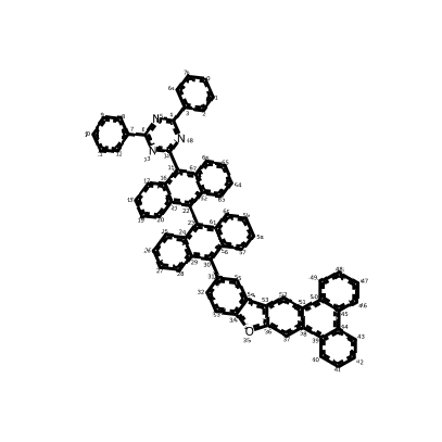 c1ccc(-c2nc(-c3ccccc3)nc(-c3c4ccccc4c(-c4c5ccccc5c(-c5ccc6oc7cc8c9ccccc9c9ccccc9c8cc7c6c5)c5ccccc45)c4ccccc34)n2)cc1